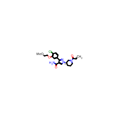 C=CC(=O)N1CCC[C@@H](n2cc(C(N)=O)c(-c3ccc(Cl)c(OCCOC)c3)n2)C1